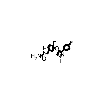 NC(=O)NCc1ccc(F)c(Oc2c[nH]nc2-c2ccc(F)cc2)c1